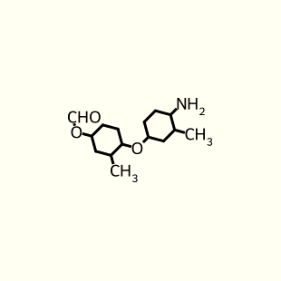 CC1CC(OC2CCC(OC=O)CC2C)CCC1N